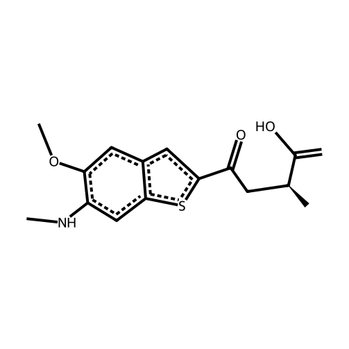 C=C(O)[C@@H](C)CC(=O)c1cc2cc(OC)c(NC)cc2s1